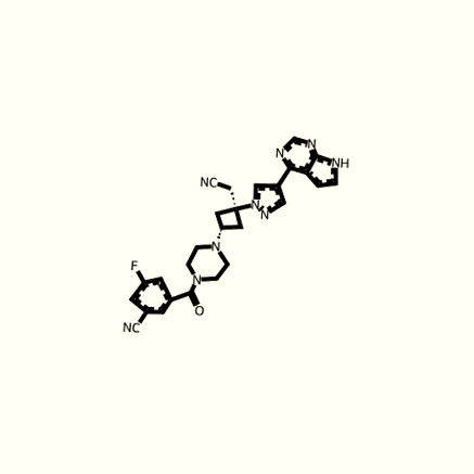 N#CC[C@]1(n2cc(-c3ncnc4[nH]ccc34)cn2)C[C@H](N2CCN(C(=O)c3cc(F)cc(C#N)c3)CC2)C1